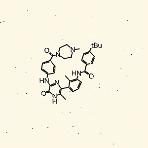 Cc1[nH]c(=O)c(Nc2ccc(C(=O)N3CCN(C)CC3)cc2)nc1-c1cccc(NC(=O)c2ccc(C(C)(C)C)cc2)c1C